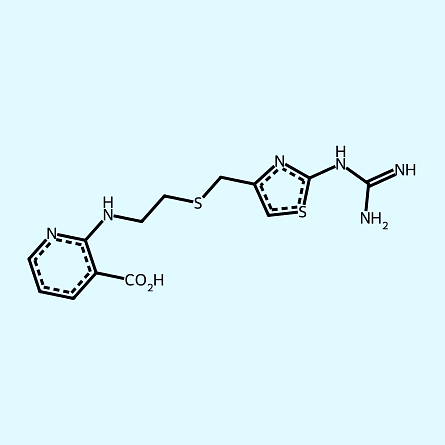 N=C(N)Nc1nc(CSCCNc2ncccc2C(=O)O)cs1